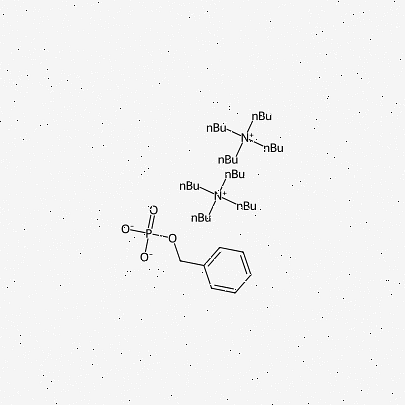 CCCC[N+](CCCC)(CCCC)CCCC.CCCC[N+](CCCC)(CCCC)CCCC.O=P([O-])([O-])OCc1ccccc1